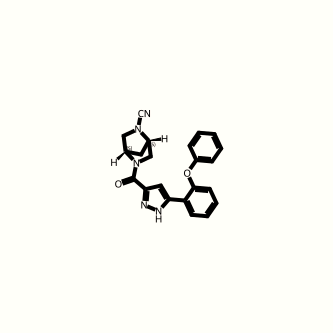 N#CN1C[C@@H]2C[C@H]1CN2C(=O)c1cc(-c2ccccc2Oc2ccccc2)[nH]n1